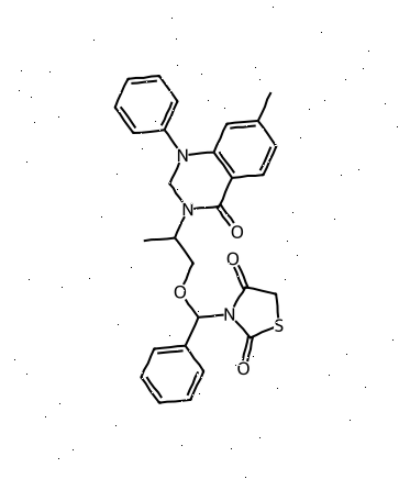 Cc1ccc2c(c1)N(c1ccccc1)CN(C(C)COC(c1ccccc1)N1C(=O)CSC1=O)C2=O